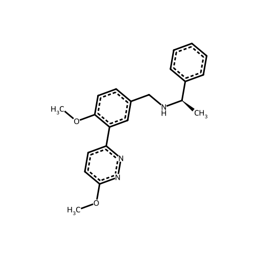 COc1ccc(-c2cc(CN[C@H](C)c3ccccc3)ccc2OC)nn1